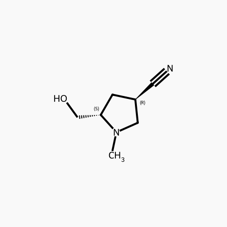 CN1C[C@H](C#N)C[C@H]1CO